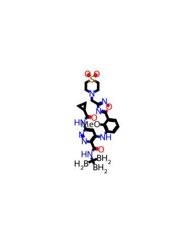 BC(B)(B)NC(=O)c1nnc(NC(=O)C2CC2)cc1Nc1cccc(-c2nc(CN3CCS(=O)(=O)CC3)no2)c1OC